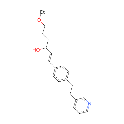 CCOCCCC(O)C=Cc1ccc(CCc2cccnc2)cc1